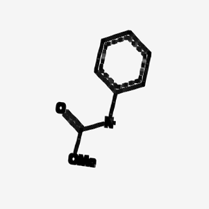 COC(=O)[N]c1ccccc1